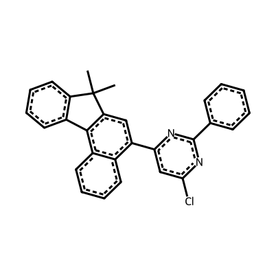 CC1(C)c2ccccc2-c2c1cc(-c1cc(Cl)nc(-c3ccccc3)n1)c1ccccc21